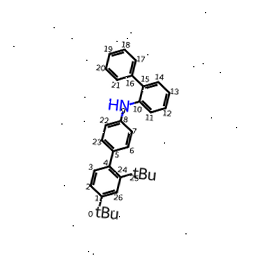 CC(C)(C)c1ccc(-c2ccc(Nc3ccccc3-c3ccccc3)cc2)c(C(C)(C)C)c1